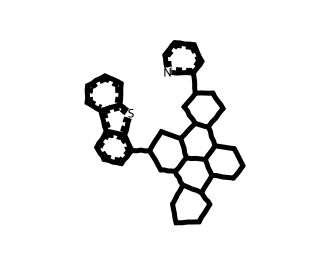 c1ccc(C2CCC3C(C2)C2CC(c4cccc5c4sc4ccccc45)CC4C5CCCCC5C5CCCC3C5C42)nc1